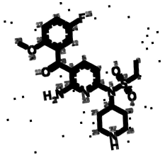 CCS(=O)(=O)N(c1ccc(C(=O)c2cc(F)ccc2OC)c(N)n1)C1CCNCC1